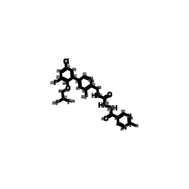 Cc1ncc(C(=O)NNC(=O)NCc2ncc(-c3cc(Cl)cc(F)c3OCC(F)F)cc2F)cn1